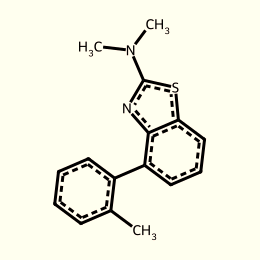 Cc1ccccc1-c1cccc2sc(N(C)C)nc12